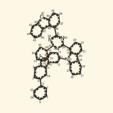 c1ccc(-c2ccc3oc4ccc(-n5c6ccccc6c6cccc(-c7nc(-c8ccccc8)nc(-c8cccc9oc%10ccccc%10c89)n7)c65)cc4c3c2)cc1